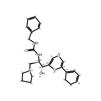 O=C(NCc1ccccc1)N[C@H](CN1CCCC1)[C@@H](O)C1=COC=C(C2=CC=CCC2)O1